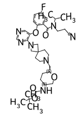 CC(C)N(CCC#N)C(=O)c1cc(F)ccc1Oc1cncnc1N1CC2(CCN(C[C@@H]3CC[C@@H](NC(=O)OC(C)(C)C)CO3)CC2)C1